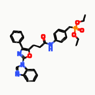 CCOP(=O)(Cc1ccc(NC(=O)CCc2oc(-n3cnc4ccccc43)nc2-c2ccccc2)cc1)OCC